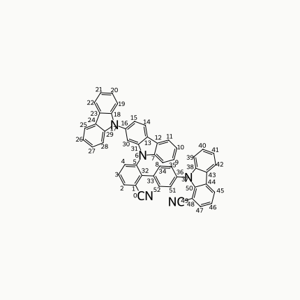 N#Cc1cccc(-n2c3ccccc3c3ccc(-n4c5ccccc5c5ccccc54)cc32)c1-c1ccc(-n2c3ccccc3c3cccc(C#N)c32)cc1